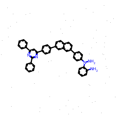 Nc1ccccc1N(N)c1ccc(-c2ccc3ccc(-c4ccc(-c5cc(-c6ccccc6)nc(-c6ccccc6)n5)cc4)cc3c2)cc1